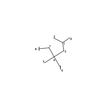 CC(C)CC(C)(I)CI